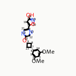 COc1cc(OC)cc([C@H]2C[C@@H](Oc3cnc(-c4cc(O)no4)cn3)C2)c1